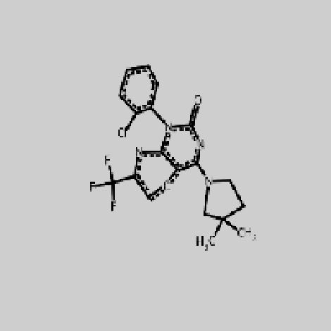 CC1(C)CCN(c2nc(=O)n(-c3ccccc3Cl)c3nc(C(F)(F)F)ccc23)C1